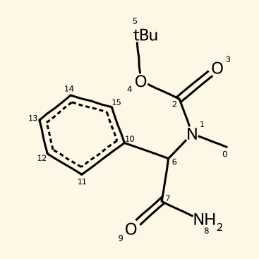 CN(C(=O)OC(C)(C)C)C(C(N)=O)c1ccccc1